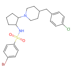 O=S(=O)(NC1CCCC1N1CCC(Cc2ccc(Cl)cc2)CC1)c1ccc(Br)cc1